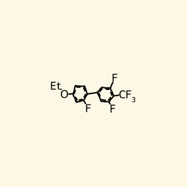 CCOc1ccc(-c2cc(F)c(C(F)(F)F)c(F)c2)c(F)c1